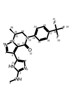 CNc1ncc(-c2cnn3c2C(=O)N(c2ccc(C(F)(F)F)cc2)C[C@@H]3C)[nH]1